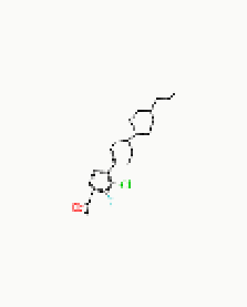 CCCC1CCC(C2CC=C(c3ccc(C4CO4)c(F)c3Cl)CC2)CC1